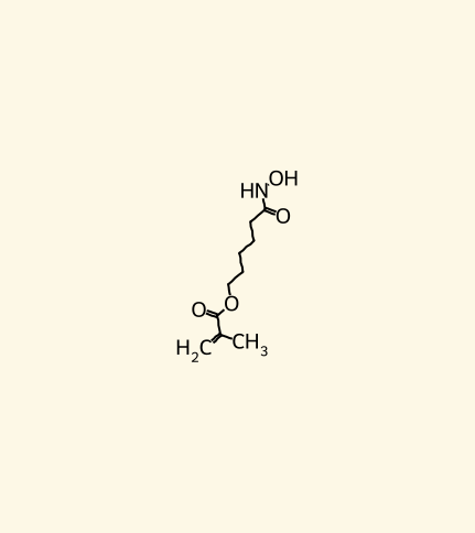 C=C(C)C(=O)OCCCCCC(=O)NO